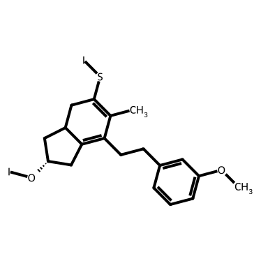 COc1cccc(CCC2=C3C[C@H](OI)CC3CC(SI)=C2C)c1